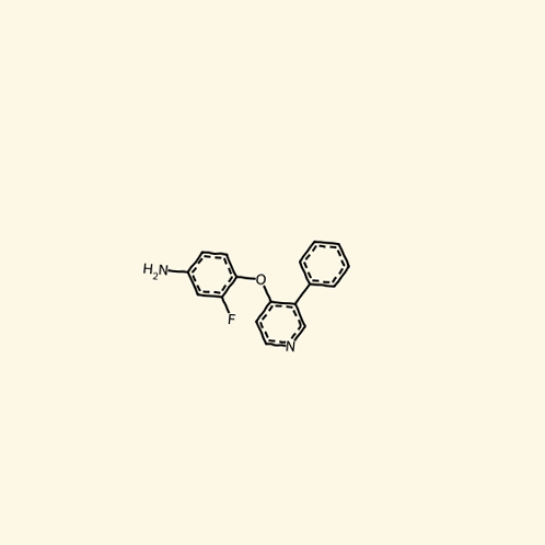 Nc1ccc(Oc2ccncc2-c2ccccc2)c(F)c1